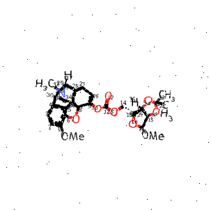 COc1ccc2c3c1OC1C(OC(=O)OC[C@H]4O[C@@H](OC)C5OC(C)(C)O[C@H]54)=CCC4[C@@H](C2)N(C)CC[C@]314